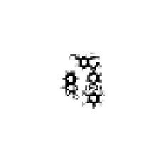 O=S(=O)(c1c(F)c(F)c(F)c(F)c1F)N1CCC(N2COCc3cc(Cl)ccc32)CC1.O=c1nc2ccccc2co1